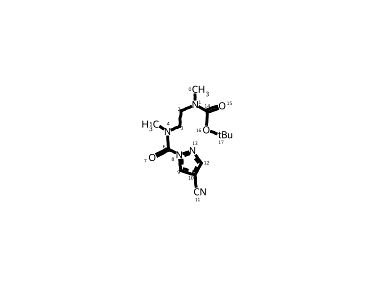 CN(CCN(C)C(=O)n1cc(C#N)cn1)C(=O)OC(C)(C)C